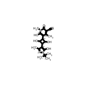 Cc1nn(C(C)(C)C)c(O)c1C1C(O)C(c2c(C)c(C#N)c(=O)n(C)c2O)C1O